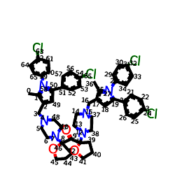 Cc1c(CN2CCN(C3(C(=O)C4(N5CCN(Cc6cc(-c7ccc(Cl)cc7)n(-c7ccc(Cl)cc7)c6C)CC5)CCCO4)CCCO3)CC2)cc(-c2ccc(Cl)cc2)n1-c1ccc(Cl)cc1